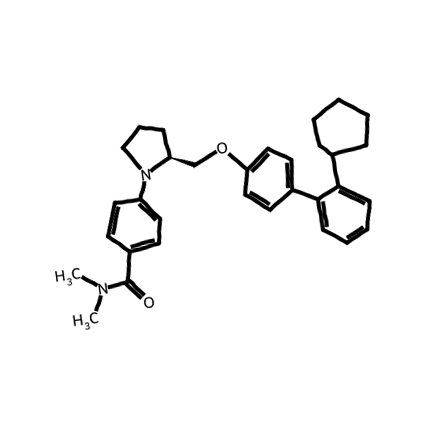 CN(C)C(=O)c1ccc(N2CCC[C@H]2COc2ccc(-c3ccccc3C3CCCCC3)cc2)cc1